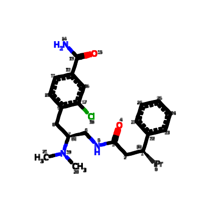 CC(C)[C@@H](CC(=O)NC[C@H](Cc1ccc(C(N)=O)cc1Cl)N(C)C)c1ccccc1